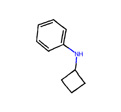 c1ccc(NC2CCC2)cc1